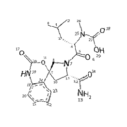 CC(C)C[C@@H](C(=O)N1C[C@]2(C[C@H]1C(N)=O)OC(=O)Nc1ccccc12)N(C)C(=O)O